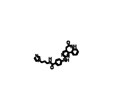 O=C1Cc2cnc(Nc3ccc(C(=O)NCCCn4ccnc4)cc3)nc2-c2ccccc2N1